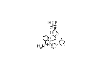 NC1=NC(c2cccc(-c3cncnc3)c2)(c2ccc3c(c2)OCCO3)c2ccccc21.O=C(O)C(F)(F)F